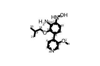 COc1cnccc1-c1ccc(NO)c(N)c1OCC(C)C